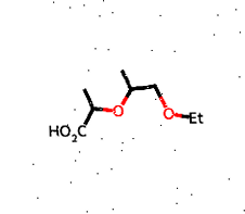 CCOCC(C)OC(C)C(=O)O